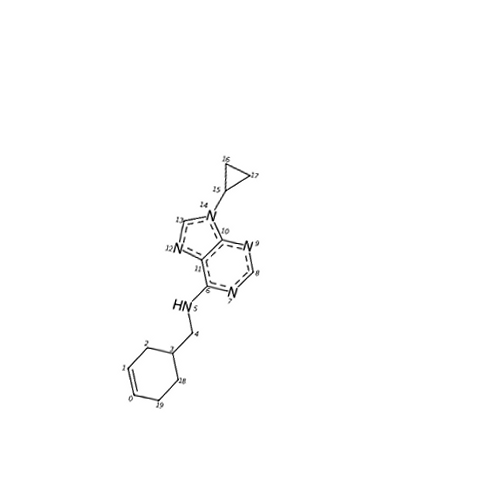 C1=CCC(CNc2ncnc3c2ncn3C2CC2)CC1